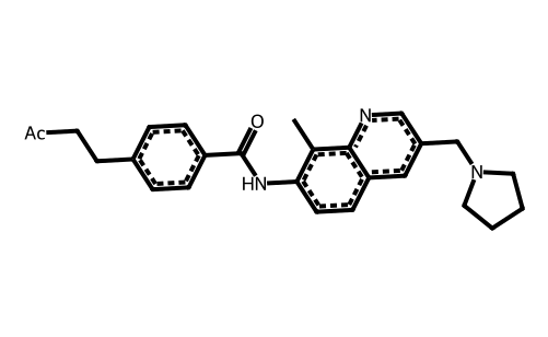 CC(=O)CCc1ccc(C(=O)Nc2ccc3cc(CN4CCCC4)cnc3c2C)cc1